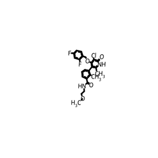 COCCNC(=O)c1cccc(-c2c(C)[nH]c(=O)c(Cl)c2OCc2ccc(F)cc2F)c1C